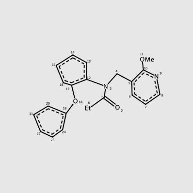 CCC(=O)N(Cc1cccnc1OC)c1ccccc1Oc1ccccc1